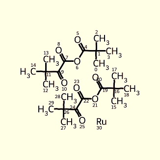 CC(C)(C)C(=O)OC(=O)C(=O)C(C)(C)C.CC(C)(C)C(=O)OC(=O)C(=O)C(C)(C)C.[Ru]